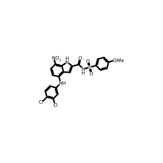 COc1ccc(S(=O)(=O)NC(=O)c2cc3c(Nc4ccc(Cl)c(Cl)c4)ccc([N+](=O)[O-])c3[nH]2)cc1